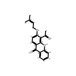 CC(=O)c1c(OCC=C(C)C)ccc2c(=O)c3ccccc3oc12